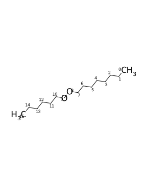 CCCCCCCCOOCCCCCC